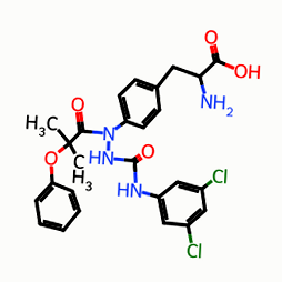 CC(C)(Oc1ccccc1)C(=O)N(NC(=O)Nc1cc(Cl)cc(Cl)c1)c1ccc(CC(N)C(=O)O)cc1